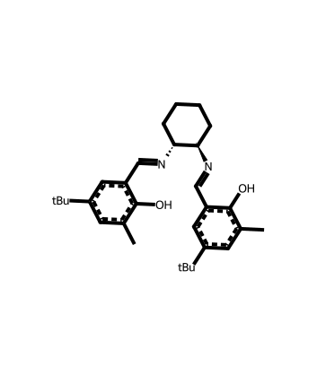 Cc1cc(C(C)(C)C)cc(/C=N/[C@@H]2CCCC[C@H]2/N=C/c2cc(C(C)(C)C)cc(C)c2O)c1O